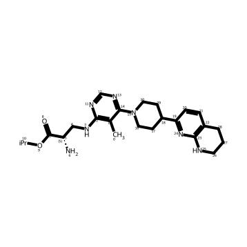 Cc1c(NC[C@H](N)C(=O)OC(C)C)ncnc1N1CCC(c2ccc3c(n2)NCCC3)CC1